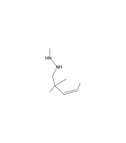 C/C=C\C(C)(C)CNNC